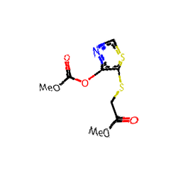 COC(=O)CSc1scnc1OC(=O)OC